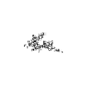 CC(C)[C@H](NC(=O)[C@H](CO)NC(=O)[C@H](CCC(N)=O)NC(=O)[C@H](Cc1ccc(O)cc1)N[N+](=O)[O-])C(=O)NCC(=O)N[C@@H](Cc1ccccc1)C(=O)N[C@@H](CCCCN)C(=O)O